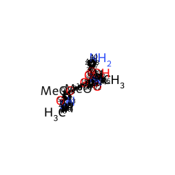 COc1cc2c(cc1OCCCCCOc1cc3c(cc1OC)C(=O)N1C=C(C)C[C@H]1[C@H](O)N3C(=O)OCc1ccc(N)cc1)N=C[C@@H]1CC(C)=CN1C2=O